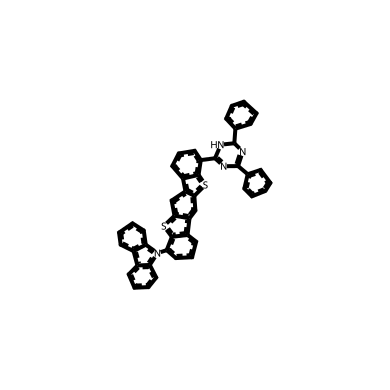 c1ccc(C2=NC(c3ccccc3)NC(c3cccc4c3sc3cc5c(cc34)sc3c(-n4c6ccccc6c6ccccc64)cccc35)=N2)cc1